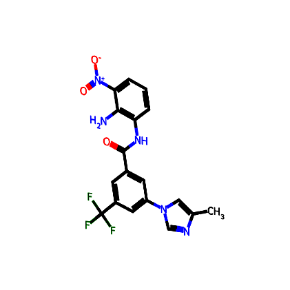 Cc1cn(-c2cc(C(=O)Nc3cccc([N+](=O)[O-])c3N)cc(C(F)(F)F)c2)cn1